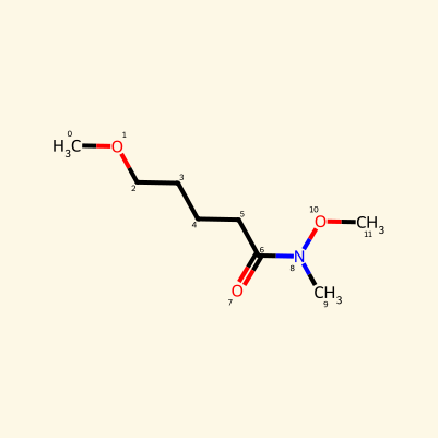 COCCCCC(=O)N(C)OC